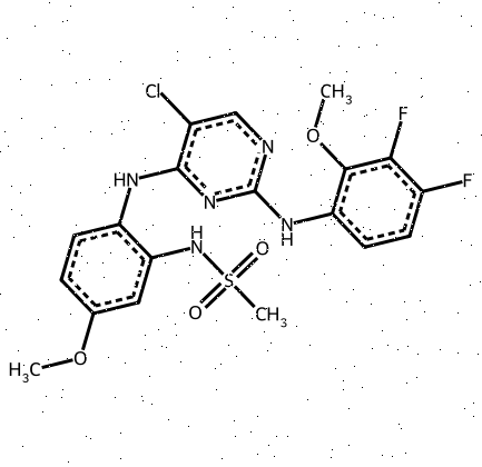 COc1ccc(Nc2nc(Nc3ccc(F)c(F)c3OC)ncc2Cl)c(NS(C)(=O)=O)c1